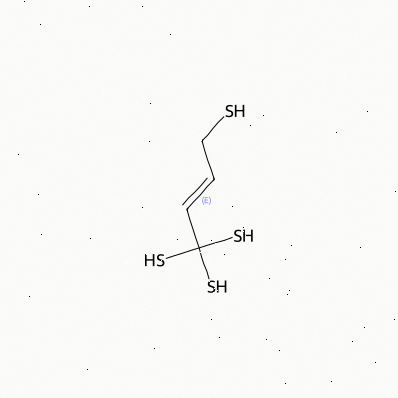 SC/C=C/C(S)(S)S